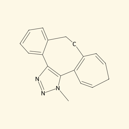 Cn1nnc2c1C1=C(C=CCC=C1)CCc1ccccc1-2